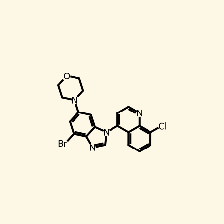 Clc1cccc2c(-n3cnc4c(Br)cc(N5CCOCC5)cc43)ccnc12